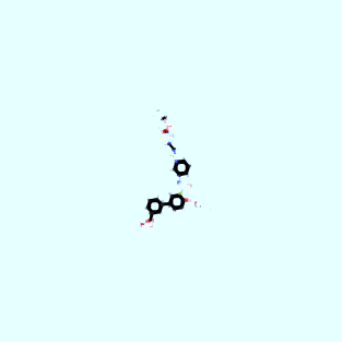 COC(=O)c1cccc(-c2ccc(OC)c([S+]([O-])Nc3cccc(NCCNC(=O)OC(C)(C)C)c3)c2)c1